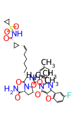 Cc1ccc(-c2nc(O[C@@H]3C[C@@H](C(N)=O)N(C(=O)[C@H](CCCCC/C=C\[C@@H]4C[C@@H]4C(=O)NS(=O)(=O)C4CC4)NC(=O)OC(C)(C)C)C3)c3oc4ccc(F)cc4c3n2)cc1